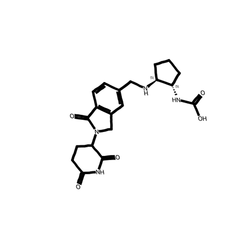 O=C(O)N[C@H]1CCC[C@@H]1NCc1ccc2c(c1)CN(C1CCC(=O)NC1=O)C2=O